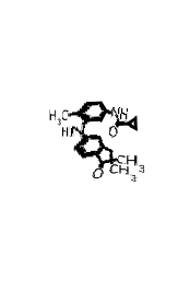 Cc1ccc(NC(=O)C2CC2)cc1Nc1ccc2c(c1)CC(C)(C)C2=O